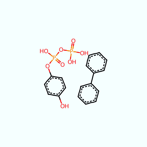 O=P(O)(O)OP(=O)(O)Oc1ccc(O)cc1.c1ccc(-c2ccccc2)cc1